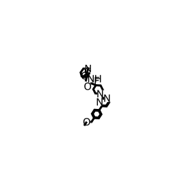 COCc1ccc(-c2ccnc(N3CCC(F)(C(=O)NC4(C)CN5CCCC4CC5)CC3)n2)cc1